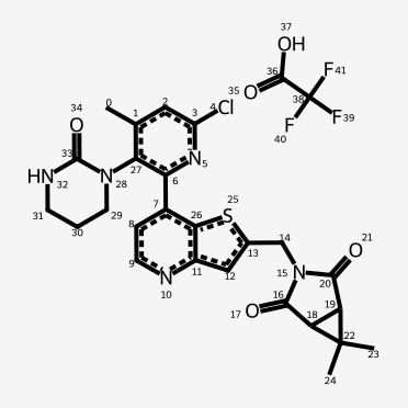 Cc1cc(Cl)nc(-c2ccnc3cc(CN4C(=O)C5C(C4=O)C5(C)C)sc23)c1N1CCCNC1=O.O=C(O)C(F)(F)F